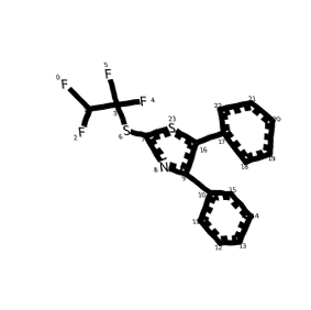 FC(F)C(F)(F)Sc1nc(-c2ccccc2)c(-c2ccccc2)s1